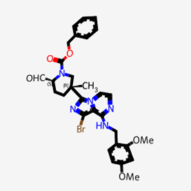 COc1ccc(CNc2nccn3c([C@]4(C)CC[C@@H](C=O)N(C(=O)OCc5ccccc5)C4)nc(Br)c23)c(OC)c1